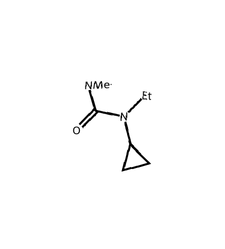 CCN(C(=O)[N]C)C1CC1